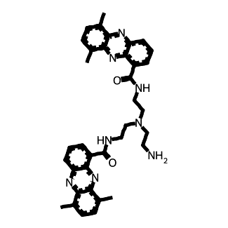 Cc1ccc(C)c2nc3c(C(=O)NCCN(CCN)CCNC(=O)c4cccc5nc6c(C)ccc(C)c6nc45)cccc3nc12